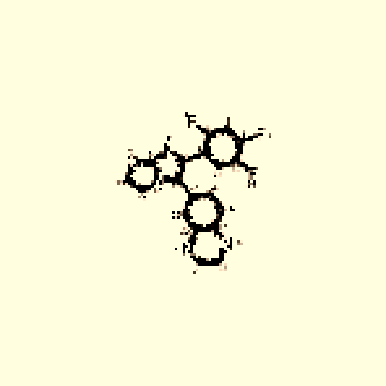 Fc1cc(F)c(-c2nc3occn3c2-c2ccc3nccnc3c2)cc1F